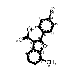 Cc1cccc2c(C(=O)O)c(-c3ccc(Br)cc3)oc12